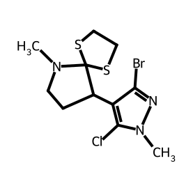 CN1CCC(c2c(Br)nn(C)c2Cl)C12SCCS2